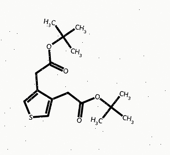 CC(C)(C)OC(=O)Cc1cscc1CC(=O)OC(C)(C)C